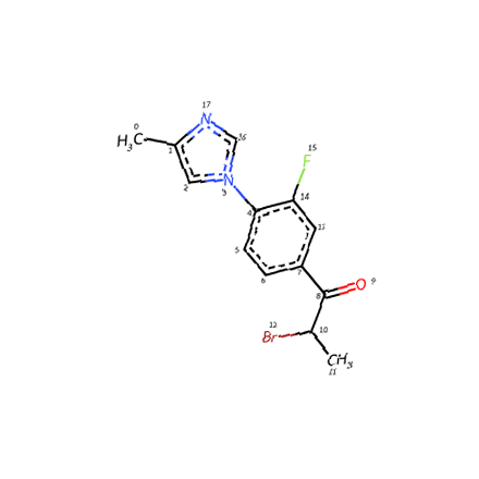 Cc1cn(-c2ccc(C(=O)C(C)Br)cc2F)cn1